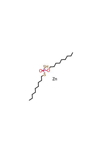 CCCCCCCCCOP(=O)(S)SCCCCCCCCC.[Zn]